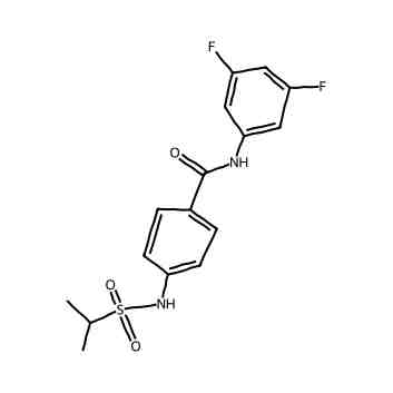 CC(C)S(=O)(=O)Nc1ccc(C(=O)Nc2cc(F)cc(F)c2)cc1